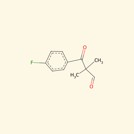 CC(C)(C=O)C(=O)c1ccc(F)cc1